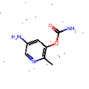 Cc1ncc(N)cc1OC(N)=O